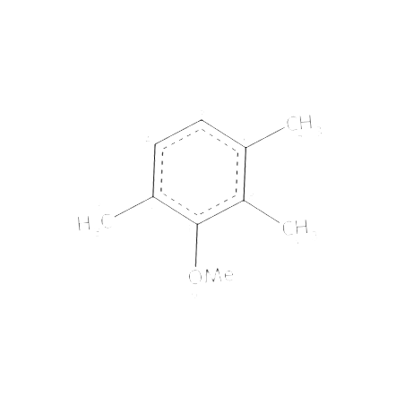 COc1c(C)ccc(C)c1C